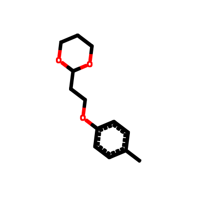 Cc1ccc(OCCC2OCCCO2)cc1